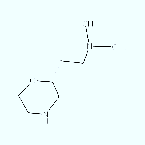 CN(C)CC[C@@H]1CNCCO1